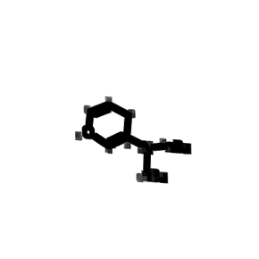 CCCCN(CCCC)C1=[C]OC=CC1